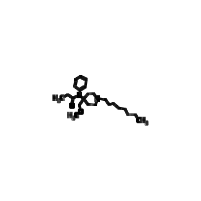 CCCCCCCCN1CCC(COC)(N(C(=O)CC)c2ccccc2)CC1